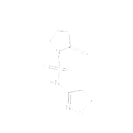 O=C1OCCN1S(=O)(=O)Nc1ccon1